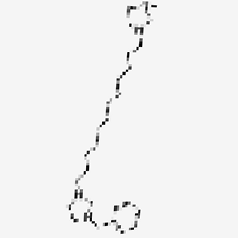 c1ccc(CN2CCN(CCCCCCCCCCCCN3CCNC3)C2)cc1